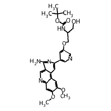 COc1cc2ncc3c(N)nc(-c4cncc(OCC(CO)NC(=O)OC(C)(C)C)c4)cc3c2cc1OC